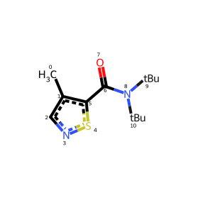 Cc1cnsc1C(=O)N(C(C)(C)C)C(C)(C)C